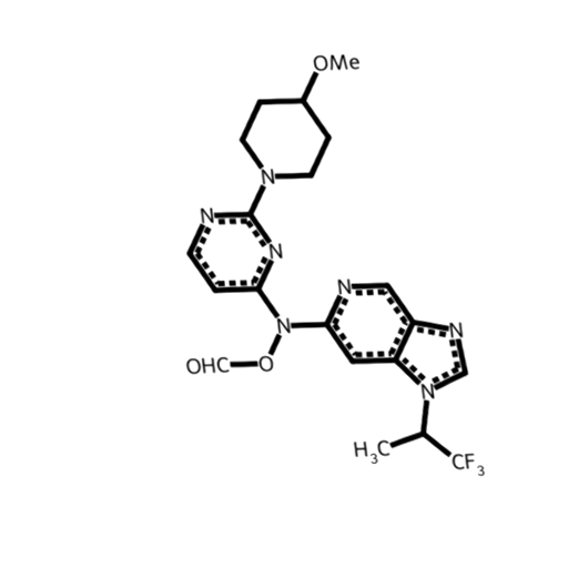 COC1CCN(c2nccc(N(OC=O)c3cc4c(cn3)ncn4C(C)C(F)(F)F)n2)CC1